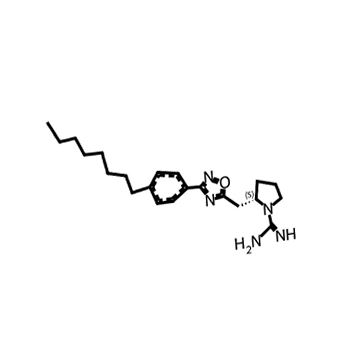 CCCCCCCCc1ccc(-c2noc(C[C@@H]3CCCN3C(=N)N)n2)cc1